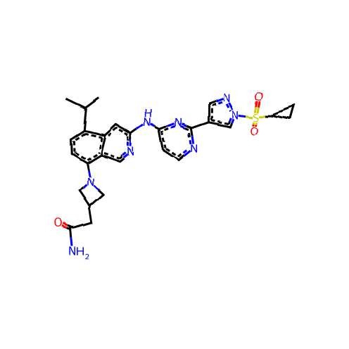 CC(C)c1ccc(N2CC(CC(N)=O)C2)c2cnc(Nc3ccnc(-c4cnn(S(=O)(=O)C5CC5)c4)n3)cc12